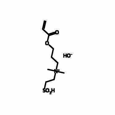 C=CC(=O)OCCC[N+](C)(C)CCS(=O)(=O)O.[OH-]